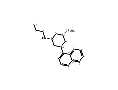 Cl.FC(F)(F)CCN[C@@H]1C[C@H](C(F)(F)F)CN(c2ccnc3nccnc23)C1